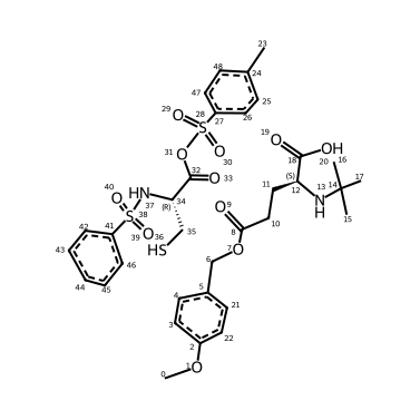 COc1ccc(COC(=O)CC[C@H](NC(C)(C)C)C(=O)O)cc1.Cc1ccc(S(=O)(=O)OC(=O)[C@H](CS)NS(=O)(=O)c2ccccc2)cc1